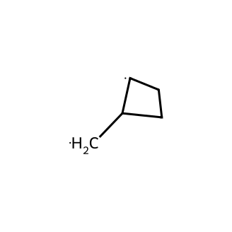 [CH2]C1[CH]CC1